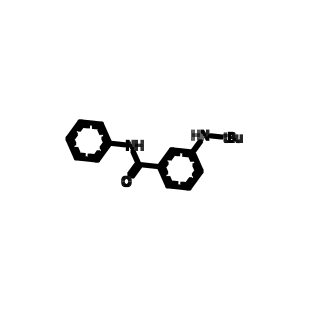 CC(C)(C)Nc1cccc(C(=O)Nc2ccccc2)c1